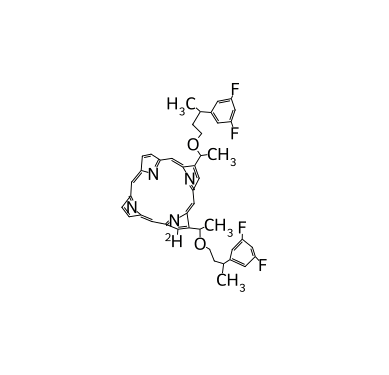 [2H]C1=C(C(C)OCCC(C)c2cc(F)cc(F)c2)C2=CC3=NC(=CC4=NC(=CC5=NC(=CC1=N2)C=C5)C=C4)C(C(C)OCCC(C)c1cc(F)cc(F)c1)=C3